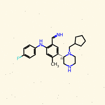 Cc1cc(Nc2ccc(F)cc2)c(C=N)cc1[C@H]1CNCCN1CC1CCCC1